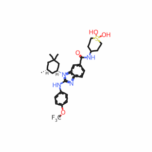 C[C@H]1C[C@@H](n2c(Nc3ccc(OC(F)(F)F)cc3)nc3ccc(C(=O)NC4CCS(O)(O)CC4)cc32)CC(C)(C)C1